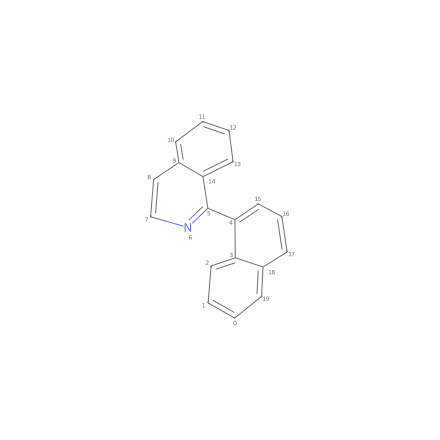 c1ccc2c(-c3nccc4ccccc34)cccc2c1